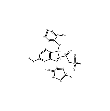 CCc1ccc2c(c1)c(-c1cc(C)c[nH]c1=O)c(C(=O)NS(C)(=O)=O)n2Cc1ccccc1F